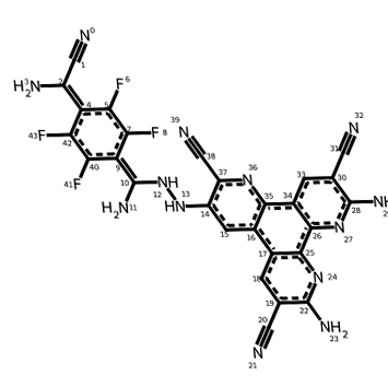 N#CC(N)=c1c(F)c(F)c(=C(N)NNc2cc3c4cc(C#N)c(N)nc4c4nc(N)c(C#N)cc4c3nc2C#N)c(F)c1F